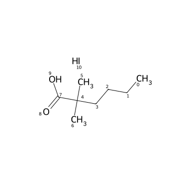 CCCCC(C)(C)C(=O)O.I